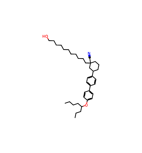 CCCCC(CCC)Oc1ccc(-c2ccc(C3CCCC(C#N)(CCCCCCCCCCCO)C3)cc2)cc1